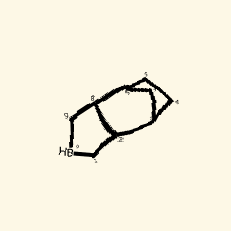 B1CC2C3CCC(C3)C2C1